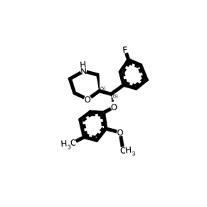 COc1cc(C)ccc1O[C@@H](c1cccc(F)c1)[C@@H]1CNCCO1